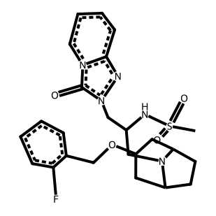 CS(=O)(=O)NC(CN1C2CCC1CC(OCc1ccccc1F)C2)Cn1nc2ccccn2c1=O